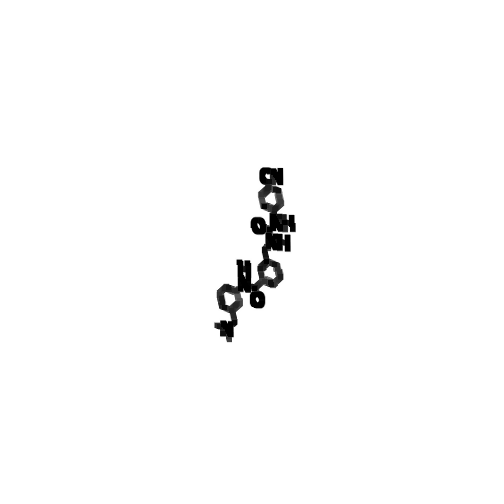 CN(C)Cc1cccc(NC(=O)c2cccc(CNC(=O)Nc3ccc(C#N)cc3)c2)c1